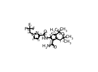 CC1(C)Cc2c(sc(NC(=O)c3ccn(CC(F)(F)F)n3)c2C(N)=O)C(C)(C)O1